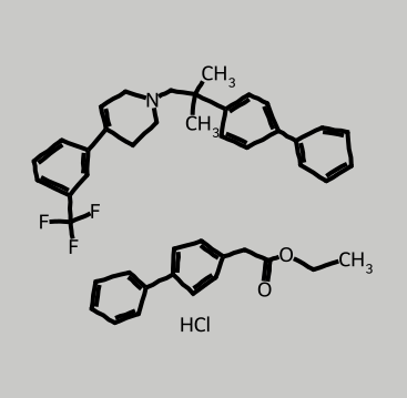 CC(C)(CN1CC=C(c2cccc(C(F)(F)F)c2)CC1)c1ccc(-c2ccccc2)cc1.CCOC(=O)Cc1ccc(-c2ccccc2)cc1.Cl